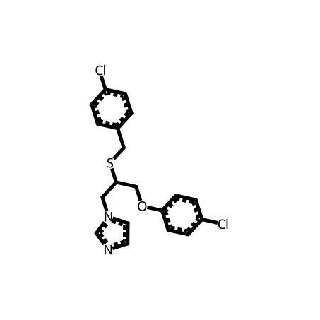 Clc1ccc(CSC(COc2ccc(Cl)cc2)Cn2ccnc2)cc1